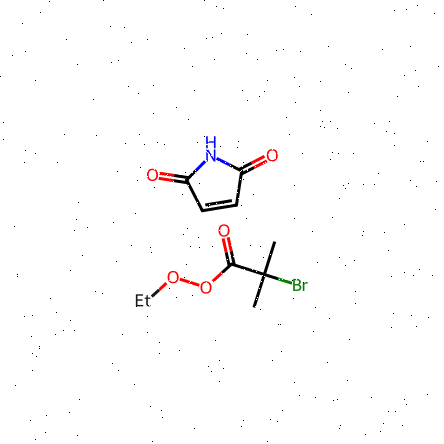 CCOOC(=O)C(C)(C)Br.O=C1C=CC(=O)N1